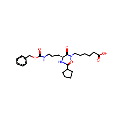 O=C(O)CCCCCNC(=O)[C@H](CCCNC(=O)OCc1ccccc1)NC(=O)C1CCCC1